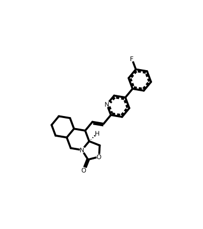 O=C1OC[C@@H]2C(/C=C/c3ccc(-c4cccc(F)c4)cn3)C3CCCCC3CN12